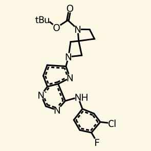 CC(C)(C)OC(=O)N1CCC12CN(c1ccc3ncnc(Nc4ccc(F)c(Cl)c4)c3n1)C2